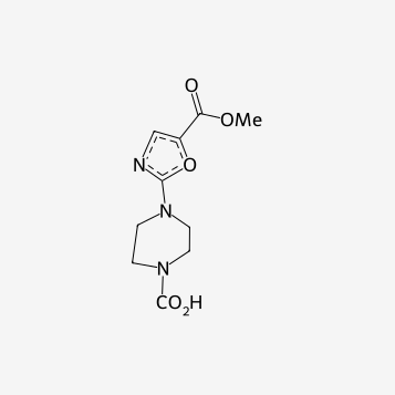 COC(=O)c1cnc(N2CCN(C(=O)O)CC2)o1